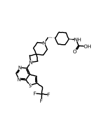 O=C(O)N[C@H]1CC[C@H](CN2CCC3(CC2)CN(c2ncnc4sc(CC(F)(F)F)cc24)C3)CC1